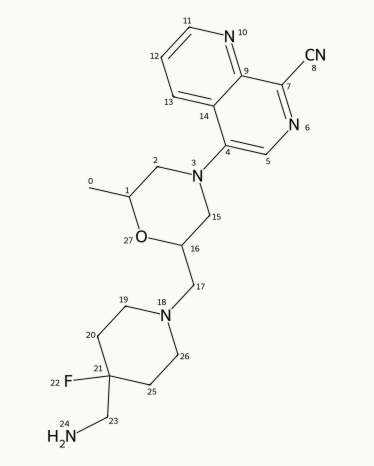 CC1CN(c2cnc(C#N)c3ncccc23)CC(CN2CCC(F)(CN)CC2)O1